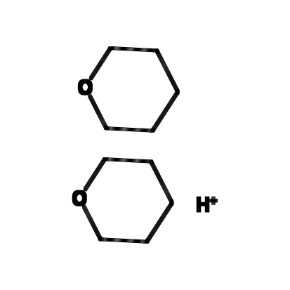 C1CCOCC1.C1CCOCC1.[H+]